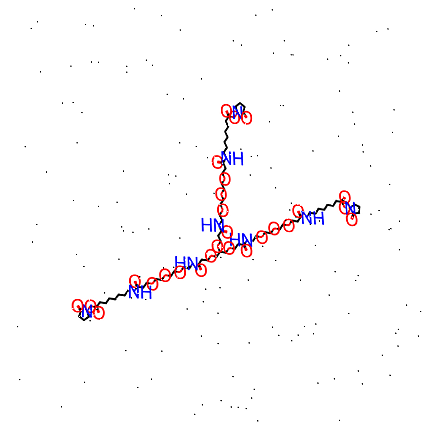 O=C(CCOCCOCCOCCNC(=O)CCOCC(COCCC(=O)NCCOCCOCCOCCC(=O)NCCCCCCCC(=O)ON1CCCC1=O)OCCC(=O)NCCOCCOCCOCCC(=O)NCCCCCCCC(=O)ON1CCCC1=O)NCCCCCCCC(=O)ON1CCCC1=O